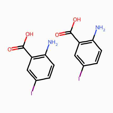 Nc1ccc(I)cc1C(=O)O.Nc1ccc(I)cc1C(=O)O